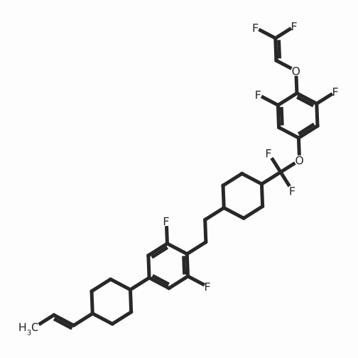 C/C=C/C1CCC(c2cc(F)c(CCC3CCC(C(F)(F)Oc4cc(F)c(OC=C(F)F)c(F)c4)CC3)c(F)c2)CC1